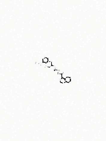 CCCOc1cccc(CC(CN)NC(=S)NNC(=O)c2nccc3c[c]ccc23)c1